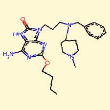 CCCCOc1nc(N)c2[nH]c(=O)n(CCCN(Cc3ccccc3)C3CCN(C)CC3)c2n1